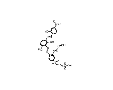 O=[N+]([O-])c1ccc(/N=N/c2ccc(O)c(/N=N/c3ccc(S(=O)(=O)CCOS(=O)(=O)O)cc3SOOO)c2O)c(O)c1